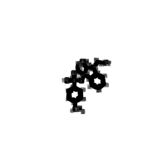 Cc1ccc(S(=O)(=O)O[N+]2(CC(C)C)c3ccccc3N(CC(C)C)C2C)cc1